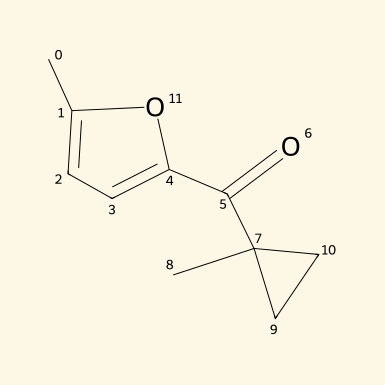 Cc1ccc(C(=O)C2(C)CC2)o1